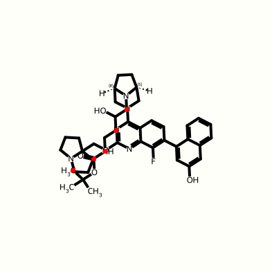 CC(C)(C)OC(=O)NCCC(O)CN1[C@@H]2CC[C@H]1CN(c1nc(OCC34CCCN3CCC4)nc3c(F)c(-c4cc(O)cc5ccccc45)ccc13)C2